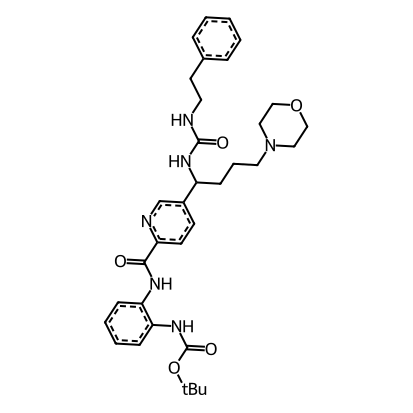 CC(C)(C)OC(=O)Nc1ccccc1NC(=O)c1ccc(C(CCCN2CCOCC2)NC(=O)NCCc2ccccc2)cn1